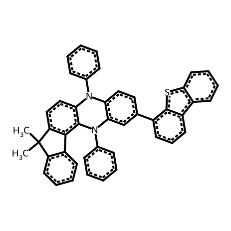 CC1(C)c2ccccc2-c2c1ccc1c2N(c2ccccc2)c2cc(-c3cccc4c3sc3ccccc34)ccc2N1c1ccccc1